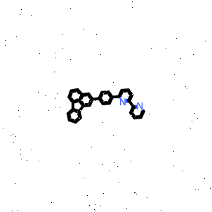 c1ccc(-c2cccc(-c3ccc(-c4cc5c6c(cccc6c4)-c4ccccc4-5)cc3)n2)nc1